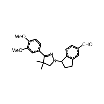 COc1ccc(C2=NN(C3CCc4cc(C=O)ccc43)CC2(C)C)cc1OC